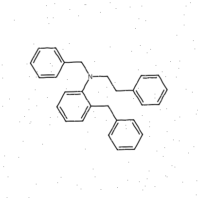 c1ccc(CCN(Cc2ccccc2)c2ccccc2Cc2ccccc2)cc1